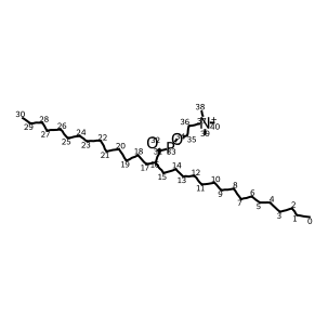 CCCCCCCCCCCCCCCCC(CCCCCCCCCCCCCC)C(=O)[P-]OCC[N+](C)(C)C